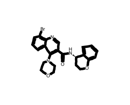 O=C(N[C@H]1CCOc2ccccc21)c1cnc2c(Br)cccc2c1N1CCOCC1